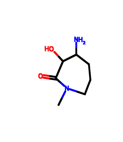 CN1CCCC(N)C(O)C1=O